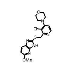 COc1ccc2nc(SCc3nccc(N4CCOCC4)c3Cl)[nH]c2n1